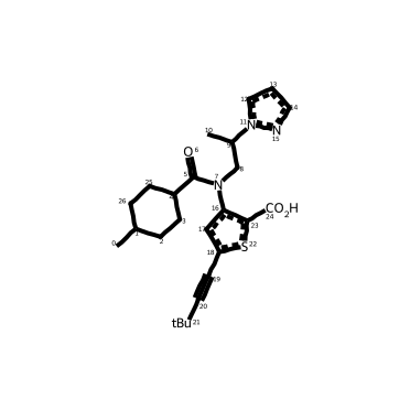 CC1CCC(C(=O)N(CC(C)n2cccn2)c2cc(C#CC(C)(C)C)sc2C(=O)O)CC1